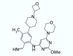 COc1nc(Nc2cc(C3CCN(C4COC4)CC3)c(C)cc2C=N)cc(N2CCOCC2)n1